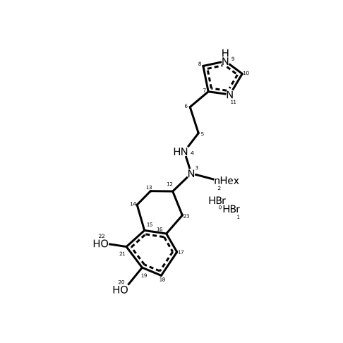 Br.Br.CCCCCCN(NCCc1c[nH]cn1)C1CCc2c(ccc(O)c2O)C1